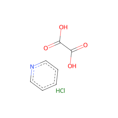 Cl.O=C(O)C(=O)O.c1ccncc1